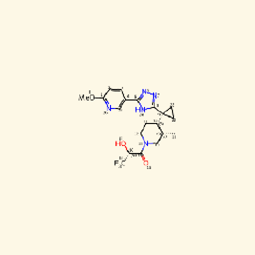 COc1ccc(-c2nnc(C3([C@H]4CCN(C(=O)[C@@H](O)C(F)(F)F)C[C@H]4C)CC3)[nH]2)cn1